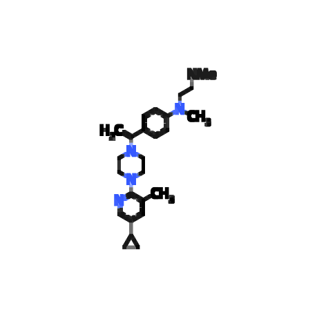 C=C(c1ccc(N(C)CCNC)cc1)N1CCN(c2ncc(C3CC3)cc2C)CC1